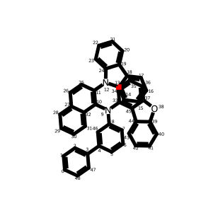 c1ccc(-c2cccc(N(c3c(-n4c5ccccc5c5ccccc54)ccc4ccccc34)c3cccc4oc5ccccc5c34)c2)cc1